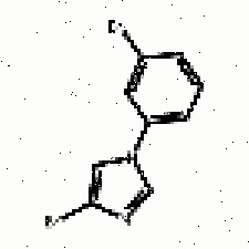 Brc1cccc(-n2cnc(Br)c2)c1